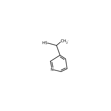 [CH2]C(S)c1cccnc1